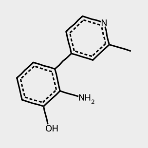 Cc1cc(-c2cccc(O)c2N)ccn1